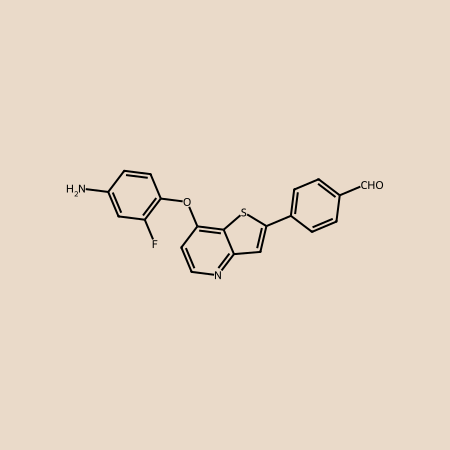 Nc1ccc(Oc2ccnc3cc(-c4ccc(C=O)cc4)sc23)c(F)c1